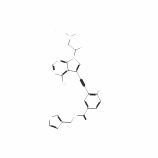 Cc1ccc(C(=O)NCc2ccsc2)cc1C#Cc1cn(C(C)CN(C)C)c2ncnc(N)c12